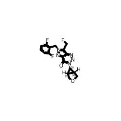 O=c1c2nn(Cc3c(F)cccc3F)c(CF)c2nnn1[C@@H]1[C@@H]2COC[C@@H]21